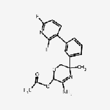 CC1(c2cccc(-c3ccc(F)nc3F)c2)COC(OC(=O)C(F)(F)F)C(N)=N1